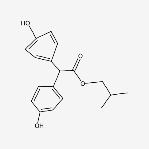 CC(C)COC(=O)C(c1ccc(O)cc1)c1ccc(O)cc1